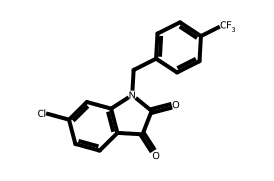 O=C1C(=O)N(Cc2ccc(C(F)(F)F)cc2)c2cc(Cl)ccc21